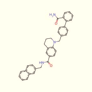 NC(=O)c1ccccc1-c1ccc(CN2CCCc3cc(C(=O)NCc4ccc5ccccc5c4)ccc32)cc1